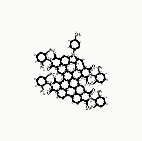 Cc1ccc(-n2c3cc4c(=O)n(-c5c(C(C)C)cccc5C(C)C)c(=O)c5cc6c7c8c(=O)n(-c9c(C(C)C)cccc9C(C)C)c(=O)c9ccc%10c%11ccc%12c(=O)n(-c%13c(C(C)C)cccc%13C(C)C)c(=O)c%13cc%14c%15c%16c(=O)n(-c%17c(C(C)C)cccc%17C(C)C)c(=O)c%17cc2c2c(c%17%16)c(c6c(c54)c23)c%15c7c(c%10c98)c%14c%11c%12%13)cc1